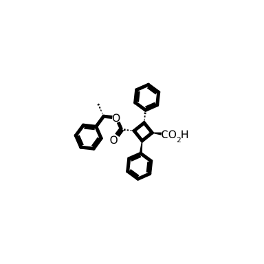 C[C@H](OC(=O)[C@H]1[C@H](c2ccccc2)[C@H](C(=O)O)[C@H]1c1ccccc1)c1ccccc1